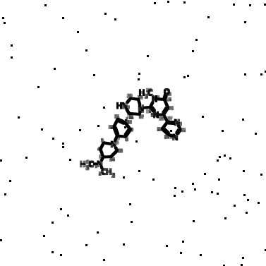 CN(C)C1CCN(c2ccc([C@H]3CN(c4nc(-c5ccncn5)cc(=O)n4C)CCN3)cc2)CC1